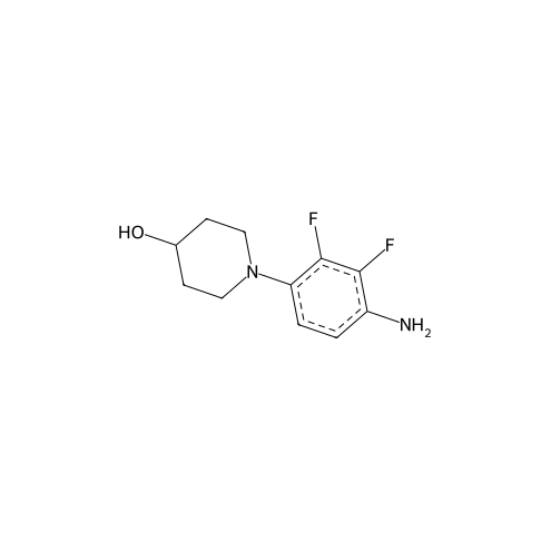 Nc1ccc(N2CCC(O)CC2)c(F)c1F